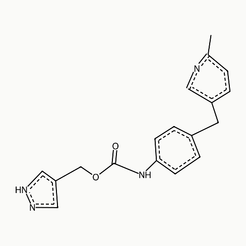 Cc1ccc(Cc2ccc(NC(=O)OCc3cn[nH]c3)cc2)cn1